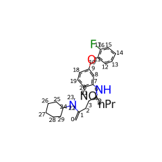 C=C(CCC(CCC)Nc1cc(Oc2ccccc2F)ccc1[N+](=O)[O-])N(C)C1CCCCC1